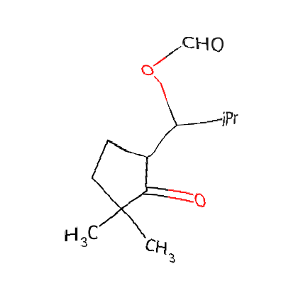 CC(C)C(OC=O)C1CCC(C)(C)C1=O